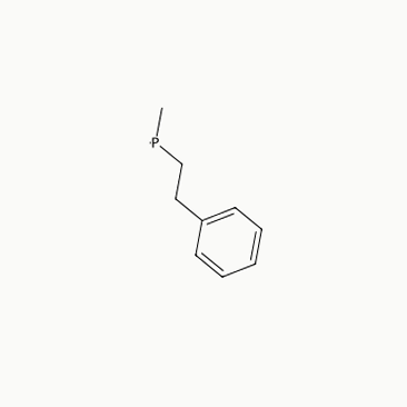 C[P]CCc1ccccc1